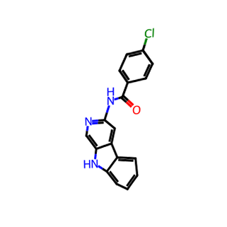 O=C(Nc1cc2c(cn1)[nH]c1ccccc12)c1ccc(Cl)cc1